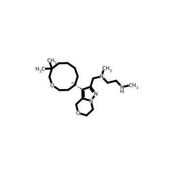 CNCCN(C)Cc1nn2c(c1[C@H]1CCCCC(C)(C)COCC1)COCC2